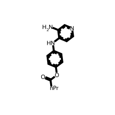 CCCC(=O)Oc1ccc(Nc2ccncc2N)cc1